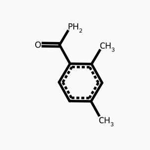 Cc1ccc(C(=O)P)c(C)c1